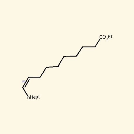 CCCCCCC/C=C\CCCCCCCC(=O)OCC